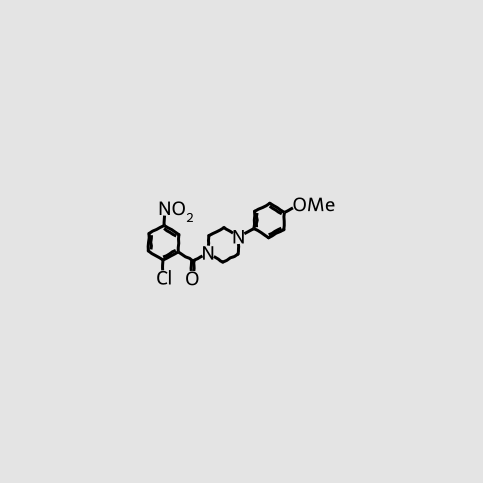 COc1ccc(N2CCN(C(=O)c3cc([N+](=O)[O-])ccc3Cl)CC2)cc1